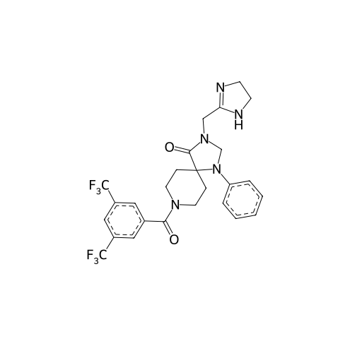 O=C(c1cc(C(F)(F)F)cc(C(F)(F)F)c1)N1CCC2(CC1)C(=O)N(CC1=NCCN1)CN2c1ccccc1